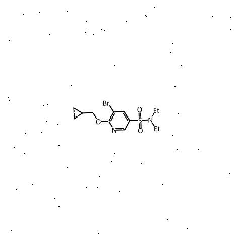 CCN(CC)S(=O)(=O)c1cnc(OCC2CC2)c(Br)c1